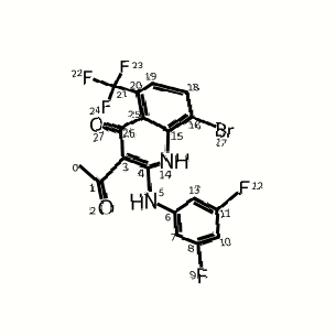 CC(=O)c1c(Nc2cc(F)cc(F)c2)[nH]c2c(Br)ccc(C(F)(F)F)c2c1=O